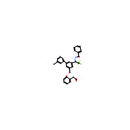 NCc1cccc(-c2cc(COc3ccccc3CC(=O)O)cc(C(NC(=O)c3ccccc3)C(F)(F)F)c2)c1